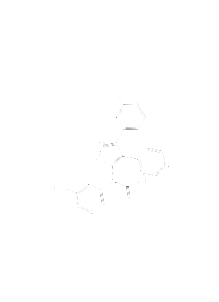 CC(=O)N(c1cccc(C)c1)c1onc(-c2cccc(Br)c2)c1-c1ccncn1